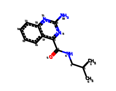 CC(C)CNC(=O)c1nc(N)nc2ccccc12